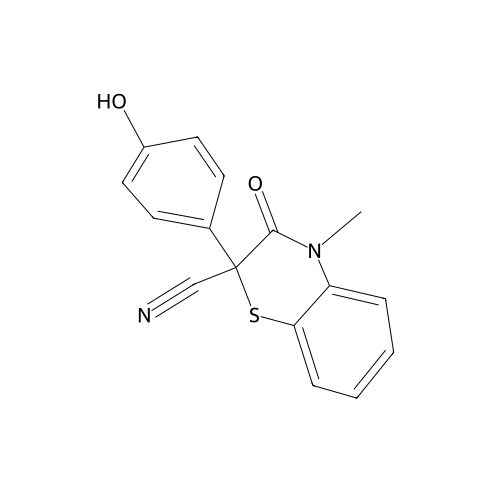 CN1C(=O)C(C#N)(c2ccc(O)cc2)Sc2ccccc21